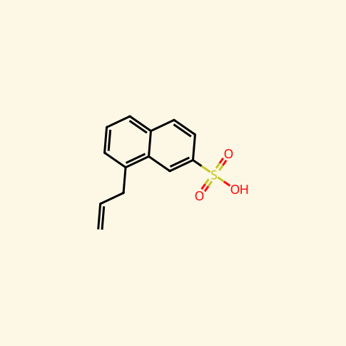 C=CCc1cccc2ccc(S(=O)(=O)O)cc12